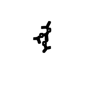 CC(C)OC=C(OC(C)C)OC(C)C